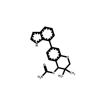 CC1(C)COc2cc(-c3cccc4cc[nH]c34)ccc2C1OC(N)=O